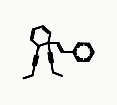 CCC#CC1C=CC=CC1(C#CCC)C=Cc1ccccc1